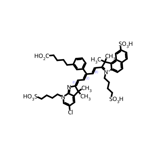 CC1(C)C2=CC(Cl)=CN(CCCCS(=O)(=O)O)C2=N/C1=C/C=C(/C=C/C1=[N+](CCCCS(=O)(=O)O)c2ccc3ccc(S(=O)(=O)O)cc3c2C1(C)C)c1cccc(CCCCC(=O)O)c1